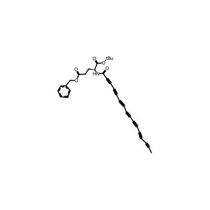 CC#CC#CC#CC#CC#CC#CC#CC(=O)N[C@@H](CCC(=O)OCc1ccccc1)C(=O)OC(C)(C)C